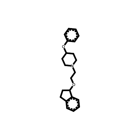 c1ccc(OC2CCN(CCOC3CCc4ccccc43)CC2)cc1